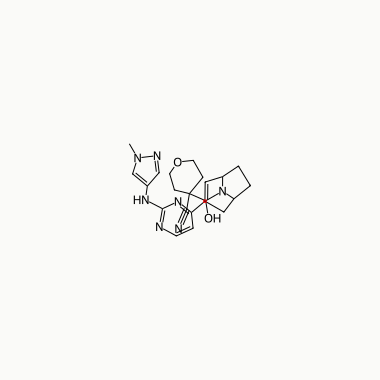 Cn1cc(Nc2nccc(C3=CC4CCC(C3)N4C(O)C3(C#N)CCOCC3)n2)cn1